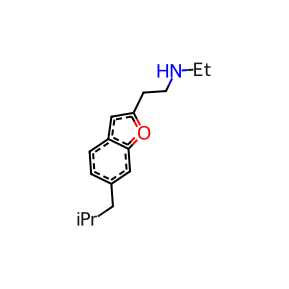 CCNCCc1cc2ccc(CC(C)C)cc2o1